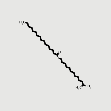 CCCCCCCCCCCCCCCC(=O)OCCCCCCCCCCCC(C)C